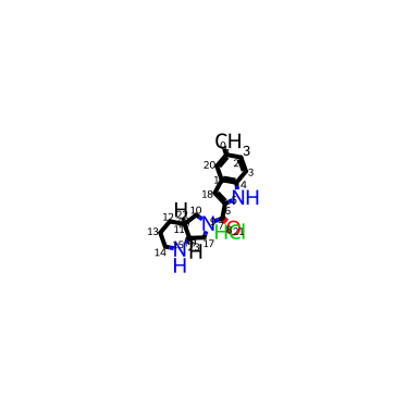 Cc1ccc2[nH]c(C(=O)N3C[C@H]4CCCN[C@H]4C3)cc2c1.Cl